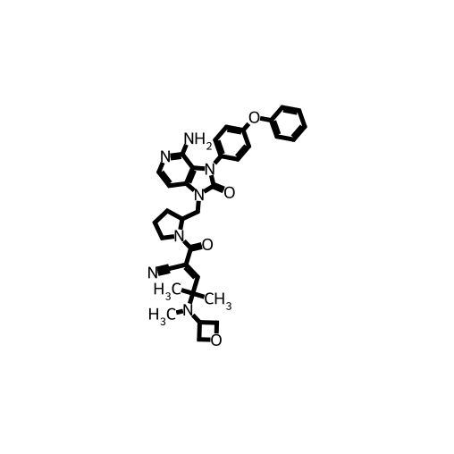 CN(C1COC1)C(C)(C)C=C(C#N)C(=O)N1CCCC1Cn1c(=O)n(-c2ccc(Oc3ccccc3)cc2)c2c(N)nccc21